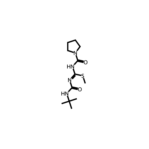 CSC(=NC(=O)NC(C)(C)C)NC(=O)N1CCCC1